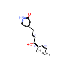 C\C=C/C(C)=C(O)\C=C\Cc1cc[nH]c(=O)c1